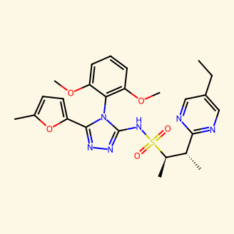 CCc1cnc([C@H](C)[C@@H](C)S(=O)(=O)Nc2nnc(-c3ccc(C)o3)n2-c2c(OC)cccc2OC)nc1